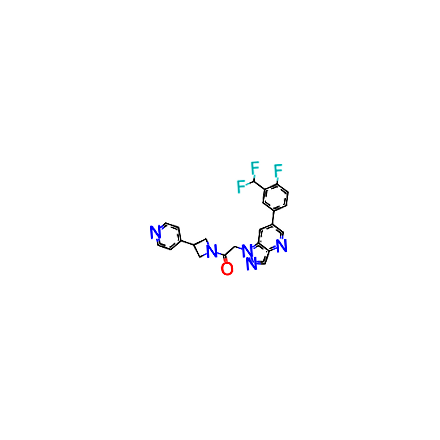 O=C(Cn1ncc2ncc(-c3ccc(F)c(C(F)F)c3)cc21)N1CC(c2ccncc2)C1